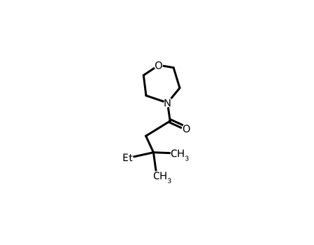 CCC(C)(C)CC(=O)N1CCOCC1